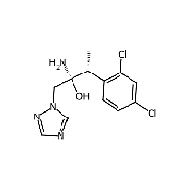 C[C@H](c1ccc(Cl)cc1Cl)[C@@](N)(O)Cn1cncn1